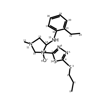 CCCSc1nnc([N+]2([O-])CN(C)CC2Nc2ccccc2CC)s1